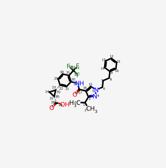 CC(C)c1nn(CCCc2ccccc2)cc1C(=O)Nc1cc([C@H]2C[C@H]2C(=O)O)ccc1C(F)(F)F